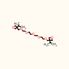 CC(C)C1(COCCOCCOCCOCCOCC2(C(C)C)COC2)COC1